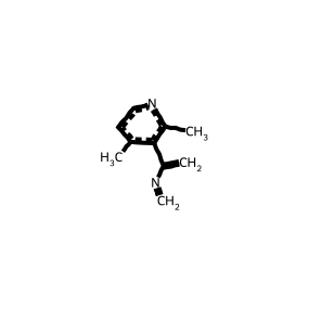 C=NC(=C)c1c(C)ccnc1C